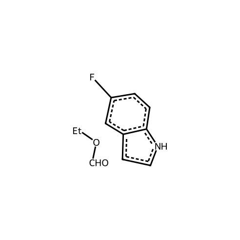 CCOC=O.Fc1ccc2[nH]ccc2c1